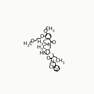 CCC(C[C@@H]1CNC[C@H]1CN(C(=O)c1ccc(OC)c(OCCCOC)c1)C(C)C)C(=O)N(CC)Cc1ccccc1